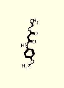 CCOC(=O)CC(=O)Nc1ccc(OC)cc1